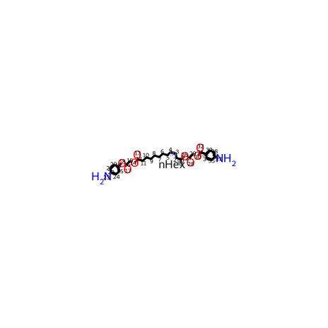 CCCCCC[C@H](C/C=C\CCCCCCCC(=O)OCC(=O)Oc1ccc(N)cc1)OC(=O)COC(=O)c1ccc(N)cc1